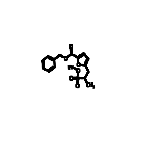 CC(C)OS(=O)(=O)C(C)Cc1ccc(C(=O)OCc2ccccc2)o1